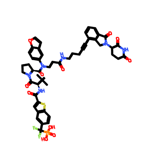 CC(C)(C)[C@H](NC(=O)c1cc2cc(C(F)(F)P(=O)(O)O)ccc2s1)C(=O)N1CCC[C@H]1C(=O)N(CCC(=O)NCCCC#Cc1cccc2c1CN(C1CCC(=O)NC1=O)C2=O)c1ccc2occc2c1